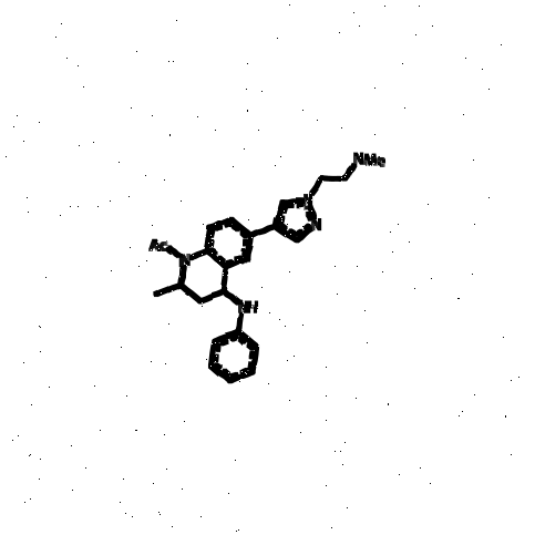 CNCCn1cc(-c2ccc3c(c2)C(Nc2ccccc2)CC(C)N3C(C)=O)cn1